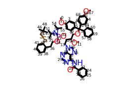 COc1ccc(C(OCC(OC)C(Cn2cnc3c(NC(=O)c4ccccc4)ncnc32)OP(OCCc2ccccc2SSC(C)(C)C)N(C(C)C)C(C)C)(c2ccccc2)c2ccc(OC)cc2)cc1